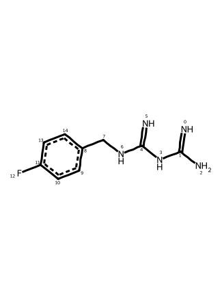 N=C(N)NC(=N)NCc1ccc(F)cc1